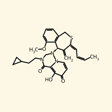 C=C1/C(=C\C=C/C)SCc2cccc(OC)c2[C@@H]1N1CN(CCC2CC2)C(=O)c2c(O)c(=O)ccn21